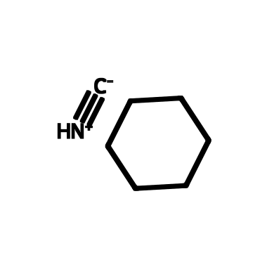 C1CCCCC1.[C-]#[NH+]